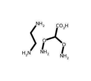 NCCN.NOC(ON)C(=O)O